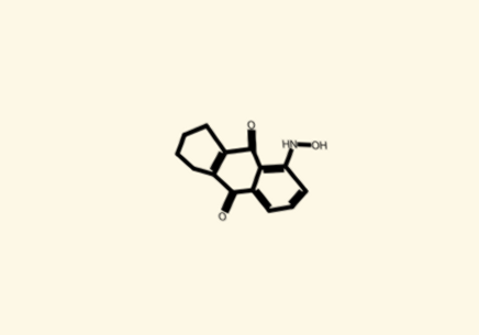 O=C1C2=C(CCCC2)C(=O)c2c(NO)cccc21